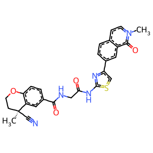 Cn1ccc2ccc(-c3csc(NC(=O)CNC(=O)c4ccc5c(c4)[C@@](C)(C#N)CCO5)n3)cc2c1=O